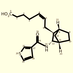 O=C(O)CCC/C=C\C[C@H]1[C@@H]2CC[C@@H](C2)[C@@H]1NC(=O)c1ccsc1